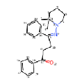 C[Si]1(C)CCCCN1N=C(CCC(=O)c1ccccc1)c1ccccc1